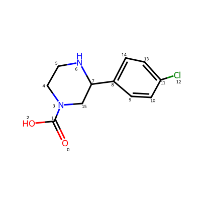 O=C(O)N1CCNC(c2ccc(Cl)cc2)C1